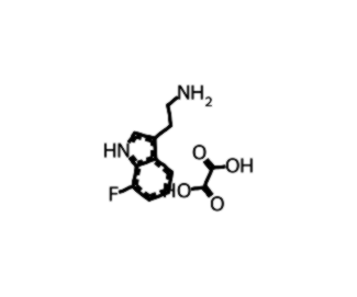 NCCc1c[nH]c2c(F)cccc12.O=C(O)C(=O)O